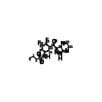 CCCS(=O)(=O)Nc1cc(F)c(F)c(C(=O)C2=NNC3N=CC=NC23)c1